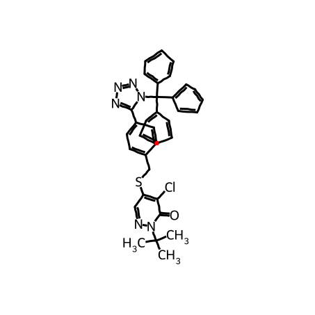 CC(C)(C)n1ncc(SCc2ccc(-c3nnnn3C(c3ccccc3)(c3ccccc3)c3ccccc3)cc2)c(Cl)c1=O